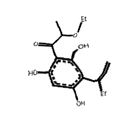 C=C(CC)c1c(O)cc(O)c(C(=O)C(C)OCC)c1O